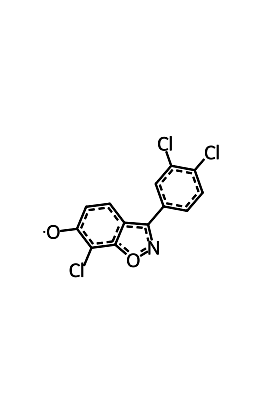 [O]c1ccc2c(-c3ccc(Cl)c(Cl)c3)noc2c1Cl